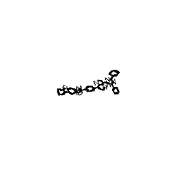 c1ccc(-c2nc(-c3ccccc3)nc(-c3ccnc4c(-c5ccc(-c6nc7cc8oc9ccccc9c8cc7o6)cc5)ccnc34)n2)cc1